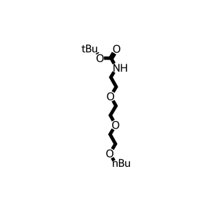 CCCCOCCOCCOCCNC(=O)OC(C)(C)C